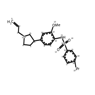 C=CCN1CCC(c2ccc(NS(=O)(=O)c3ccc(C(C)C)cc3)c(OC)c2)C1